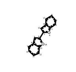 c1ccc2oc(-c3cc4ccccc4o3)cc2c1